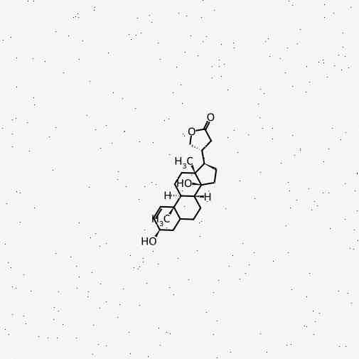 C[C@]12C=C[C@H](O)CC1CC[C@@H]1[C@@H]2CC[C@]2(C)[C@@H]([C@@H]3COC(=O)C3)CC[C@]12O